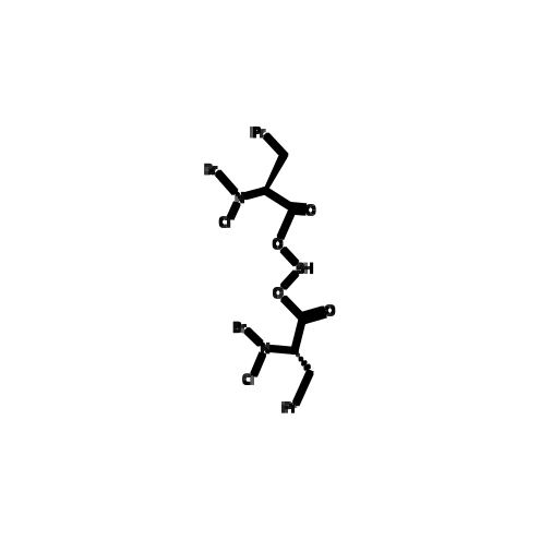 CC(C)C[C@@H](C(=O)OBOC(=O)[C@H](CC(C)C)N(Cl)Br)N(Cl)Br